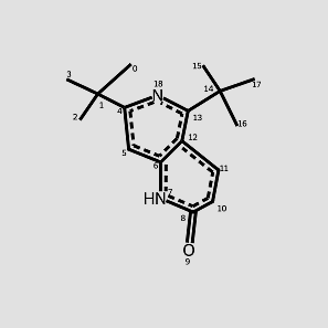 CC(C)(C)c1cc2[nH]c(=O)ccc2c(C(C)(C)C)n1